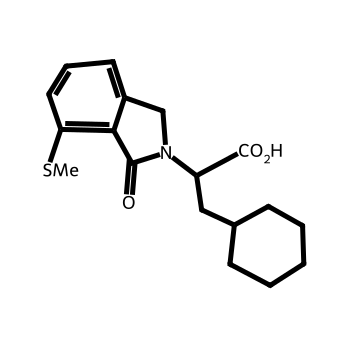 CSc1cccc2c1C(=O)N(C(CC1CCCCC1)C(=O)O)C2